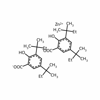 CCC(C)(C)c1cc(C(=O)[O-])c(O)c(C(C)(C)CC)c1.CCC(C)(C)c1cc(C(=O)[O-])c(O)c(C(C)(C)CC)c1.[Zn+2]